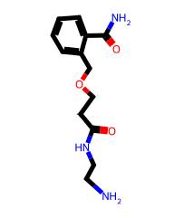 NCCNC(=O)[CH]COCc1ccccc1C(N)=O